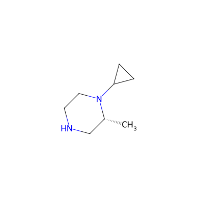 C[C@@H]1CNCCN1C1CC1